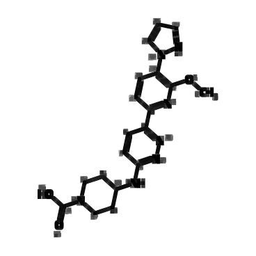 COc1nc(-c2ccc(NC3CCN(C(=O)O)CC3)nn2)ccc1-n1cccn1